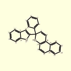 C1=CC(c2ccccc2)(c2cc3ccccc3o2)Oc2ccc3ccccc3c21